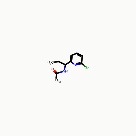 CCC(NC(C)=O)c1cccc(Br)n1